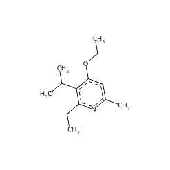 CCOc1cc(C)nc(CC)c1C(C)C